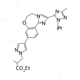 CCOC(=O)C(C)Cn1cc(-c2ccc3c(c2)OCCn2cc(-c4nc(C)nn4C(C)C)nc2-3)cn1